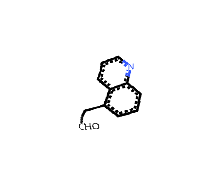 O=CCc1cccc2ncccc12